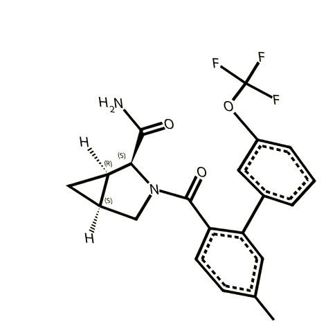 Cc1ccc(C(=O)N2C[C@H]3C[C@H]3[C@H]2C(N)=O)c(-c2cccc(OC(F)(F)F)c2)c1